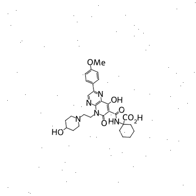 COc1ccc(-c2cnc3c(n2)c(O)c(C(=O)NC2(C(=O)O)CCCCC2)c(=O)n3CCN2CCC(O)CC2)cc1